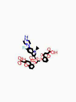 O=C(O)c1cc(=O)c2c(OCC(COc3cccc4oc(C(=O)O)cc(=O)c34)OC(=O)c3cn(C4CC4)c4cc(N5CCNCC5)c(F)cc4c3=O)cccc2o1